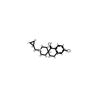 O=C1c2ccc(Cl)cc2CCC12CCN(CC1CC1)CC2